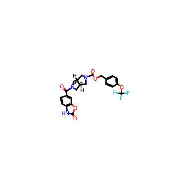 O=C(OCc1ccc(OC(F)(F)F)cc1)N1C[C@H]2CN(C(=O)c3ccc4[nH]c(=O)oc4c3)C[C@@H]2C1